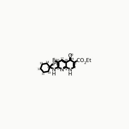 CCOC(=O)c1c[nH]c2nc(NC3(C(C)C)CCCCC3)c(F)cc2c1=O